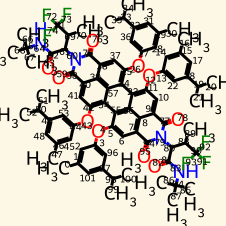 Cc1cc(Oc2cc3c4c(cc(Oc5cc(C)cc(C(C)C)c5)c5c6c(Oc7cc(C)cc(C(C)C)c7)cc7c8c(cc(Oc9cc(C)cc(C(C)C)c9)c(c2c45)c86)C(=O)N(C(C(=O)NC(C)(C)C)C(C)C(F)(F)F)C7=O)C(=O)N(C(C(=O)NC(C)(C)C)C(C)C(F)(F)F)C3=O)cc(C(C)C)c1